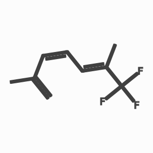 C=C(C)/C=C\C=C(/C)C(F)(F)F